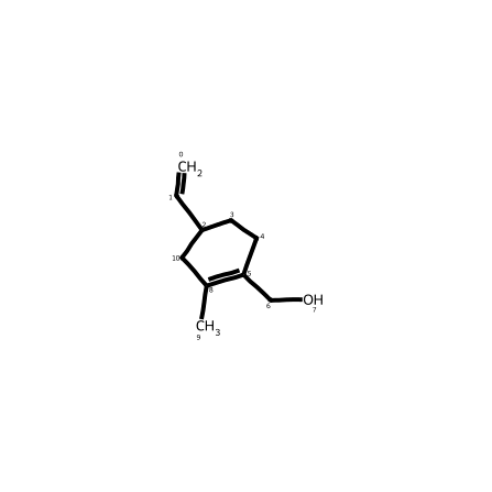 C=CC1CCC(CO)=C(C)C1